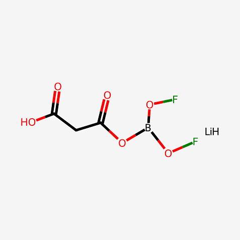 O=C(O)CC(=O)OB(OF)OF.[LiH]